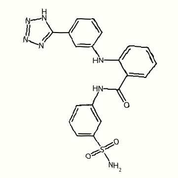 NS(=O)(=O)c1cccc(NC(=O)c2ccccc2Nc2cccc(-c3nnn[nH]3)c2)c1